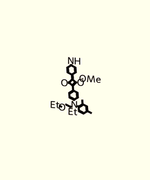 CCOCC(CC)N(c1ccc(C2=C(OOC)C(=C3C=CC(=N)C=C3)C2=O)cc1)c1ccc(C)cc1C